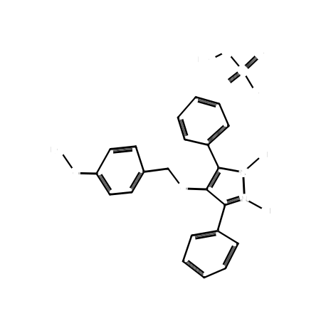 COS(=O)(=O)[O-].COc1ccc(COc2c(-c3ccccc3)n(C)[n+](C)c2-c2ccccc2)cc1